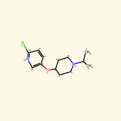 CC(C)N1CCC(Oc2ccc(Cl)nc2)CC1